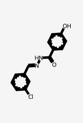 O=C(NN=Cc1cccc(Cl)c1)c1ccc(O)cc1